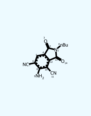 CCCCN1C(=O)c2cc(C#N)c(N)c(C#N)c2C1=O